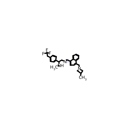 CNC(C/N=C/c1ccc(CN2CC(C)C2)c2ccccc12)c1ccc(CC(F)(F)F)cc1